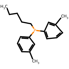 CCCCCP(c1cccc(C)c1)c1cccc(C)c1